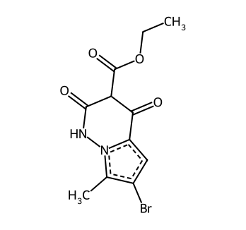 CCOC(=O)C1C(=O)Nn2c(cc(Br)c2C)C1=O